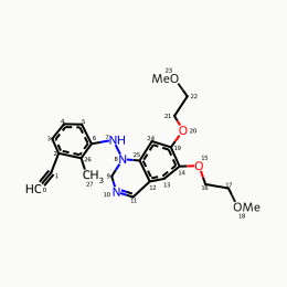 C#Cc1cccc(NN2CN=Cc3cc(OCCOC)c(OCCOC)cc32)c1C